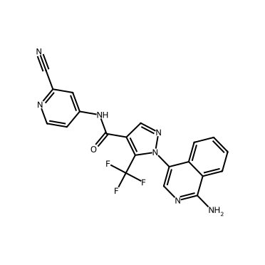 N#Cc1cc(NC(=O)c2cnn(-c3cnc(N)c4ccccc34)c2C(F)(F)F)ccn1